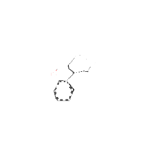 CCO.O=C(O)CC(CC(=O)O)c1ccccc1